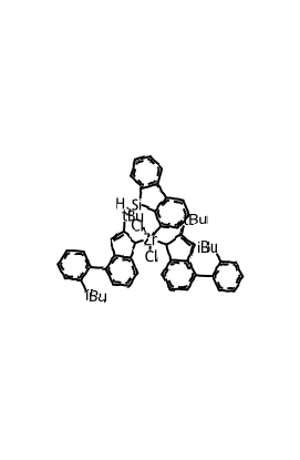 CCC(C)c1ccccc1-c1cccc2c1C=C(C(C)(C)C)[CH]2[Zr]([Cl])([Cl])([c]1cccc2c1[SiH2]c1ccccc1-2)[CH]1C(C(C)(C)C)=Cc2c(-c3ccccc3C(C)CC)cccc21